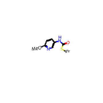 COc1ccc(NC(=O)SC(C)C)cn1